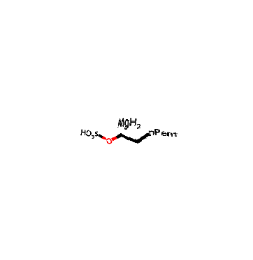 CCCCCCCOS(=O)(=O)O.[MgH2]